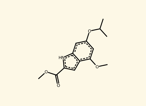 COC(=O)c1cc2c(OC)cc(OC(C)C)cc2[nH]1